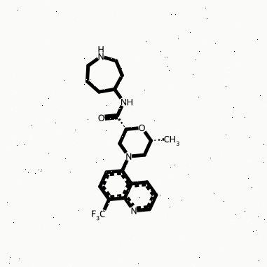 C[C@@H]1CN(c2ccc(C(F)(F)F)c3ncccc23)C[C@H](C(=O)NC2CCCNCC2)O1